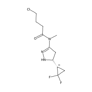 CN(C(=O)CCCCl)C1=NNC([C@@H]2CC2(F)F)C1